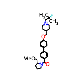 COC[C@H]1CCCN1C(=O)c1ccc(-c2ccc(OCC3CCN(CC(C)(C)F)CC3)cc2)cc1